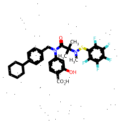 CN(Sc1c(F)c(F)c(F)c(F)c1F)C(C)(C)C(=O)N(Cc1ccc(C2CCCCC2)cc1)c1ccc(C(=O)O)c(O)c1